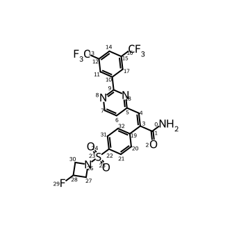 NC(=O)/C(=C/c1ccnc(-c2cc(C(F)(F)F)cc(C(F)(F)F)c2)n1)c1ccc(S(=O)(=O)N2CC(F)C2)cc1